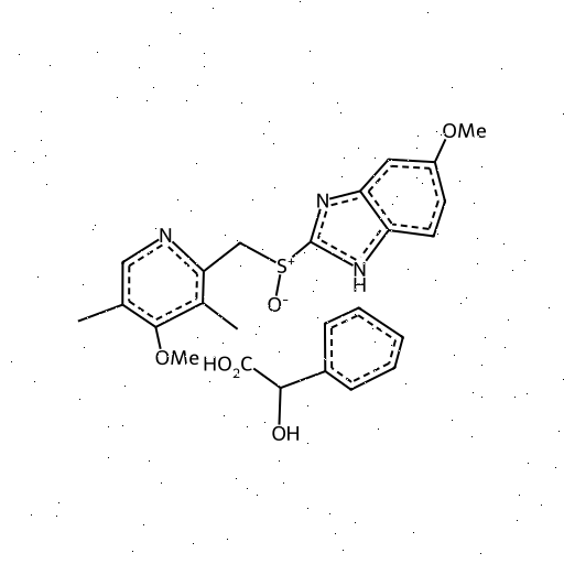 COc1ccc2[nH]c([S+]([O-])Cc3ncc(C)c(OC)c3C)nc2c1.O=C(O)C(O)c1ccccc1